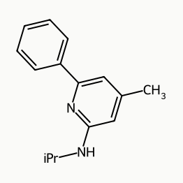 Cc1cc(NC(C)C)nc(-c2ccccc2)c1